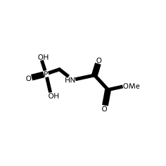 COC(=O)C(=O)NCP(=O)(O)O